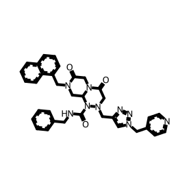 O=C1CN2C(=O)CN(Cc3cn(Cc4ccncc4)nn3)N(C(=O)NCc3ccccc3)C2CN1Cc1cccc2ccccc12